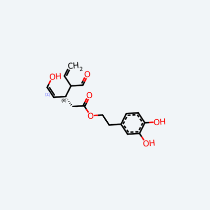 C=CC(C=O)[C@@H](/C=C\O)CC(=O)OCCc1ccc(O)c(O)c1